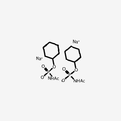 CC(=O)NP(=O)([O-])OC1CCCCC1.CC(=O)NP(=O)([O-])OC1CCCCC1.[Na+].[Na+]